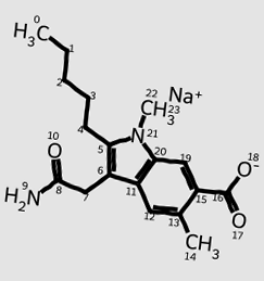 CCCCCc1c(CC(N)=O)c2cc(C)c(C(=O)[O-])cc2n1C.[Na+]